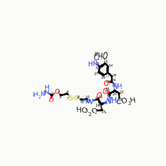 NNC(=O)OCCSSCCNC(=O)[C@H](CC(=O)O)NC(=O)C(CC(=O)O)NC(=O)Cc1ccc(NC=O)cc1